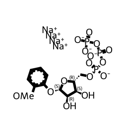 COc1ccccc1O[C@@H]1O[C@H](COP(=O)([O-])OP(=O)([O-])OP(=O)([O-])[O-])[C@@H](O)[C@H]1O.[Na+].[Na+].[Na+].[Na+]